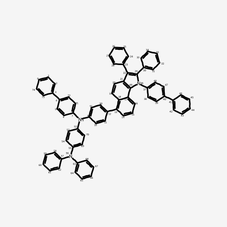 c1ccc(-c2ccc(N(c3ccc(-c4cccc5c4ccc4c(-c6ccccc6)c(-c6ccccc6)n(-c6ccc(-c7ccccc7)cc6)c45)cc3)c3ccc(N(c4ccccc4)c4ccccc4)cc3)cc2)cc1